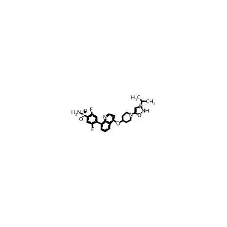 CC(C)N1C=C(N2CCC(Oc3ccnc4c(-c5cc(F)c(S(N)(=O)=O)cc5F)cccc34)CC2)ON1